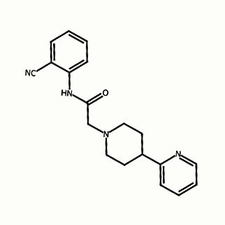 N#Cc1ccccc1NC(=O)CN1CCC(c2ccccn2)CC1